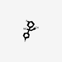 C#CCC(C#N)(c1ccc(F)cc1)c1cccc(F)c1